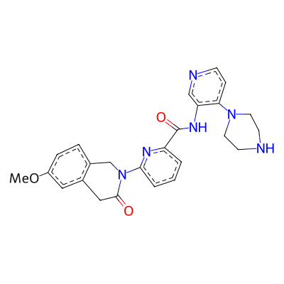 COc1ccc2c(c1)CC(=O)N(c1cccc(C(=O)Nc3cnccc3N3CCNCC3)n1)C2